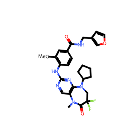 COc1cc(C(=O)NCc2ccoc2)ccc1Nc1ncc2c(n1)N(C1CCCC1)CC(F)(F)C(=O)N2C